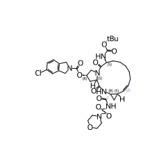 CC(C)(C)OC(=O)N[C@H]1CCCCC/C=C\[C@@H]2C[C@@]2(C(=O)NS(=O)(=O)N2CCOCC2)NC(=O)[C@@H]2C[C@@H](OC(=O)N3Cc4ccc(Cl)cc4C3)CN2C1=O